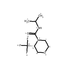 CC(C)NC(=O)N1CCOC[C@@H]1C(F)(F)F